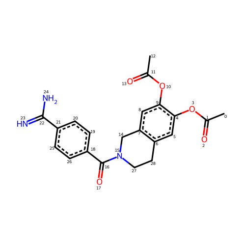 CC(=O)Oc1cc2c(cc1OC(C)=O)CN(C(=O)c1ccc(C(=N)N)cc1)CC2